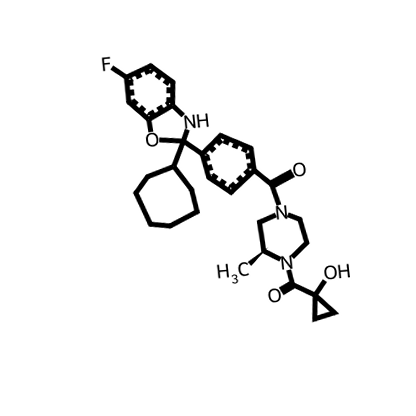 C[C@H]1CN(C(=O)c2ccc(C3(C4CCCCCC4)Nc4ccc(F)cc4O3)cc2)CCN1C(=O)C1(O)CC1